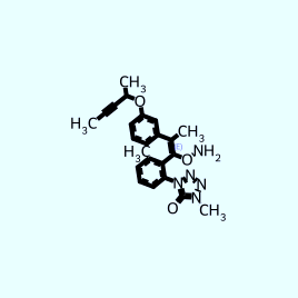 CC#CC(C)Oc1cccc(/C(C)=C(/ON)c2c(C)cccc2-n2nnn(C)c2=O)c1